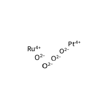 [O-2].[O-2].[O-2].[O-2].[Pt+4].[Ru+4]